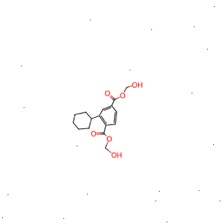 O=C(OCO)c1ccc(C(=O)OCO)c(C2CCCCC2)c1